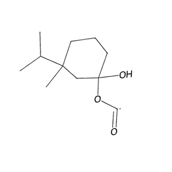 CC(C)C1(C)CCCC(O)(O[C]=O)C1